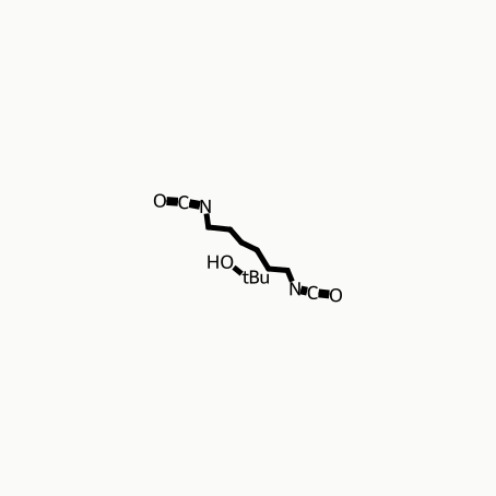 CC(C)(C)O.O=C=NCCCCCCN=C=O